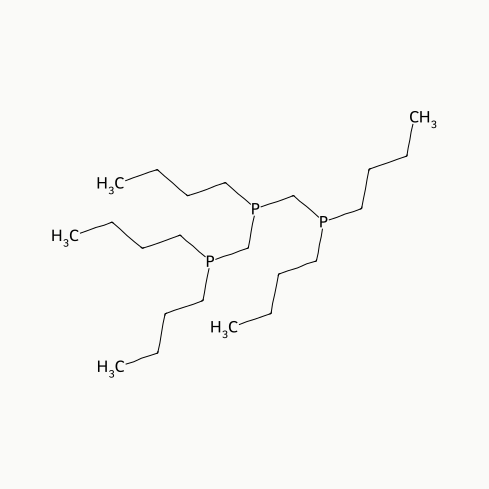 CCCCP(CCCC)CP(CCCC)CP(CCCC)CCCC